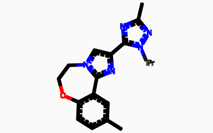 Cc1ccc2c(c1)-c1nc(-c3nc(C)nn3C(C)C)cn1CCO2